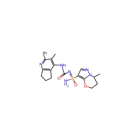 Cc1c(C(C)C)nc2c(c1NC(=O)N=S(N)(=O)c1cnn3c1OCCC3C)CCC2